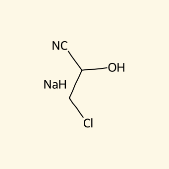 N#CC(O)CCl.[NaH]